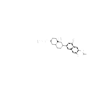 CCCCC[C@@H]1CC[C@@H]2CC(c3cc(F)c4cc(OC(F)F)c(F)cc4c3)CCC2C1